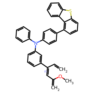 C=C/C(=C\C(=C)OC)c1cccc(N(c2ccccc2)c2ccc(-c3cccc4sc5ccccc5c34)cc2)c1